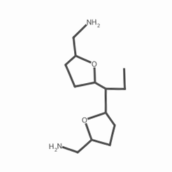 CCC(C1CCC(CN)O1)C1CCC(CN)O1